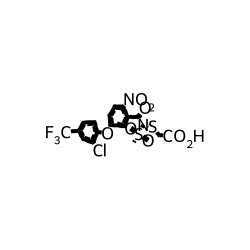 CS(=O)(=O)N(SCC(=O)O)C(=O)c1cc(Oc2ccc(C(F)(F)F)cc2Cl)ccc1[N+](=O)[O-]